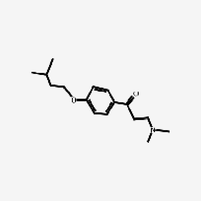 CC(C)CCOc1ccc(C(=O)CCN(C)C)cc1